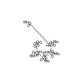 CC(C)(C)OC(=O)CCCCCCCCCCCCCCCCC(=O)N[C@@H](CCC(=O)N[C@@H](CCC(=O)N[C@@H](CCC(=O)N[C@@H](CCC(=O)ON1C(=O)CCC1=O)C(=O)OC(C)(C)C)C(=O)OC(C)(C)C)C(=O)OC(C)(C)C)C(=O)OC(C)(C)C